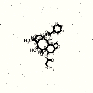 CCC(=O)OC1CC2OCC2C2[C@H](OC(=O)c3ccccc3)C3(O)CCC(C)=C(C(O)C(=O)C12C)C3C